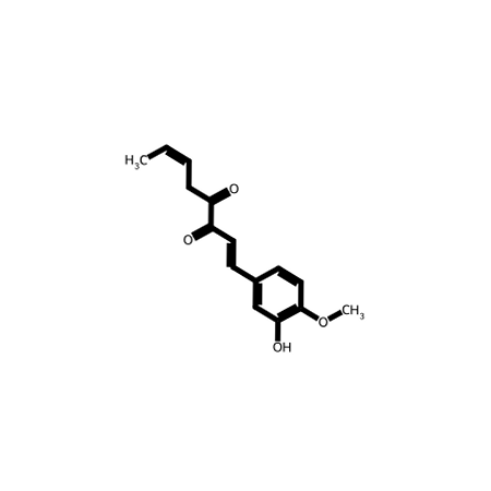 C/C=C\CC(=O)C(=O)/C=C/c1ccc(OC)c(O)c1